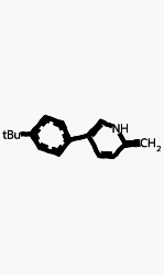 C=C1C=CC(c2ccc(C(C)(C)C)cc2)=CN1